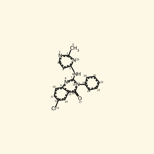 Cc1nccc(Nc2nc3ccc(Cl)cc3c(=O)n2-c2ccccc2)n1